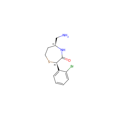 NC[C@@H]1CCS[C@H](c2ccccc2Br)C(=O)N1